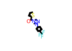 O=C(c1cccs1)N1C=NN(c2ccc(C(F)(F)F)cc2)C1